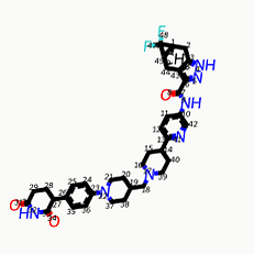 CC12Cc3[nH]nc(C(=O)Nc4ccc(C5CCN(CC6CCN(c7ccc(C8CCC(=O)NC8=O)cc7)CC6)CC5)nc4)c3CC1C2(F)F